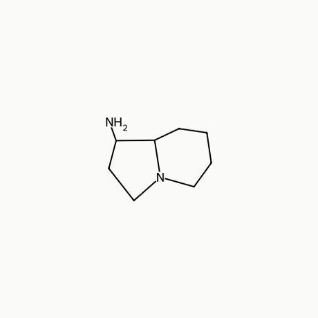 NC1CCN2CCCCC12